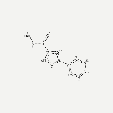 CC(C)(C)OC(=O)c1ncc(-c2cncnc2)s1